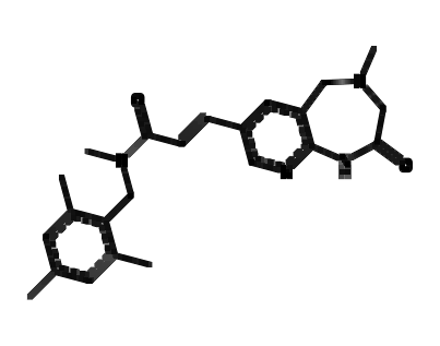 Cc1cc(C)c(CN(C)C(=O)/C=C/c2cnc3c(c2)CN(C)CC(=O)N3)c(C)c1